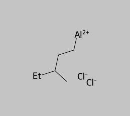 CCC(C)C[CH2][Al+2].[Cl-].[Cl-]